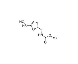 CC(C)(C)OC(=O)NCc1ccc(BO)o1